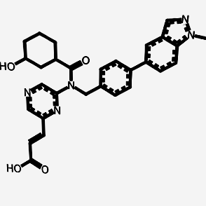 Cn1ncc2cc(-c3ccc(CN(C(=O)C4CCCC(O)C4)c4cncc(C=CC(=O)O)n4)cc3)ccc21